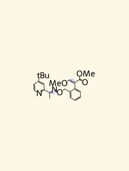 CO/C=C(/C(=O)OC)c1ccccc1CO/N=C(\C)c1cc(C(C)(C)C)ccn1